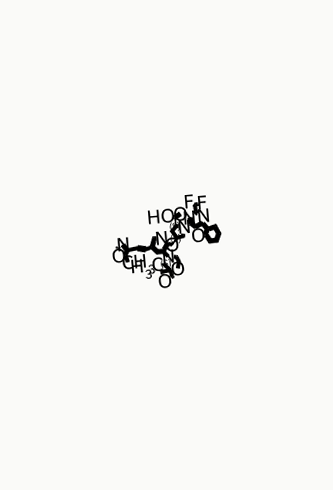 Cc1ocnc1C#Cc1cnc(O[C@H]2C[C@@H](C(=O)O)N(c3nc(C(F)F)nc4c3oc3ccccc34)C2)c(N2CCOC3(COC3)[C@@H]2C)c1